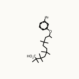 CC(CC(C)(C)CCC(C)(C)CC(C)(C)C(C)(C)C(=O)O)Oc1cccc(C(C)C)c1